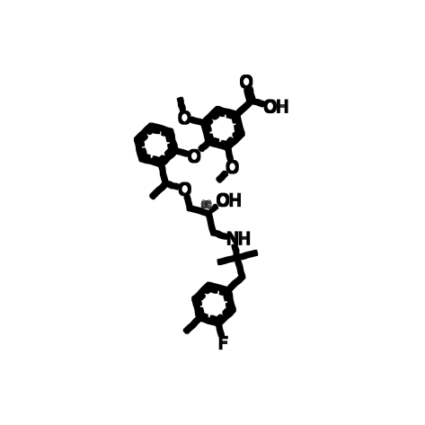 COc1cc(C(=O)O)cc(OC)c1Oc1ccccc1C(C)OC[C@@H](O)CNC(C)(C)Cc1ccc(C)c(F)c1